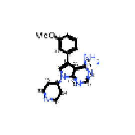 COc1cccc(-c2cn(C3CC[N]CC3)c3ncnc(N)c23)c1